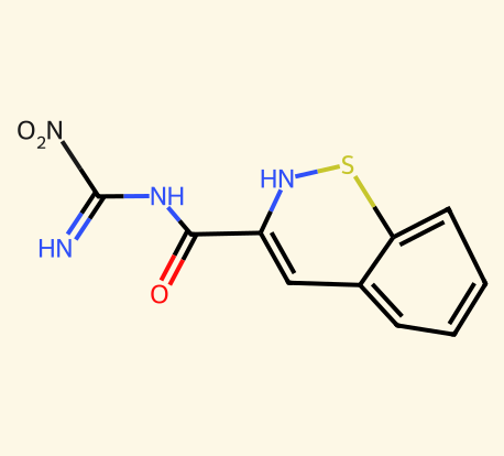 N=C(NC(=O)C1=Cc2ccccc2SN1)[N+](=O)[O-]